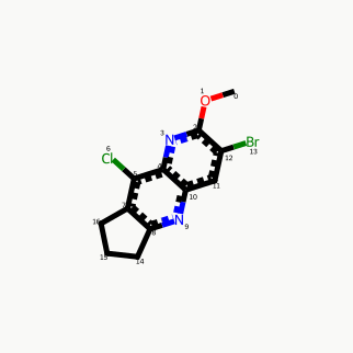 COc1nc2c(Cl)c3c(nc2cc1Br)CCC3